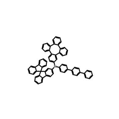 c1ccc(-c2ccc(-c3ccc(N(c4ccc5c(c4)-c4ccccc4-c4ccccc4-c4ccccc4-5)c4ccc5c(c4)C4(c6ccccc6-c6ccccc64)c4ccccc4-5)cc3)cc2)cc1